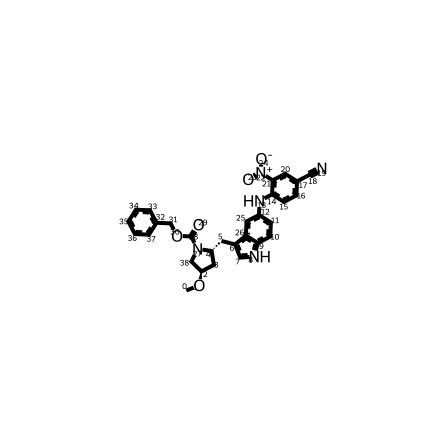 CO[C@@H]1C[C@@H](Cc2c[nH]c3ccc(Nc4ccc(C#N)cc4[N+](=O)[O-])cc23)N(C(=O)OCc2ccccc2)C1